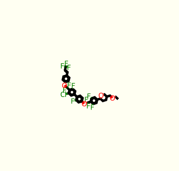 CCOCC1CCC(c2cc(F)c(C(F)(F)Oc3ccc(-c4cc(F)c(C(F)(F)Oc5ccc(/C=C/C(F)(F)F)cc5)c(Cl)c4)c(F)c3)c(F)c2)OC1